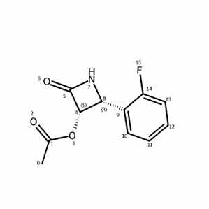 CC(=O)O[C@@H]1C(=O)N[C@@H]1c1ccccc1F